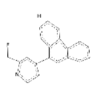 FCc1cc(-c2cc3ccccc3c3ccccc23)ccn1.I